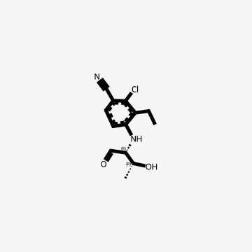 CCc1c(N[C@@H](C=O)[C@@H](C)O)ccc(C#N)c1Cl